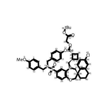 COc1ccc(CN(Cc2ccc(OC)cc2)S(=O)(=O)c2ccc3c(c2)N(C[C@@H]2CC[C@H]2COCC(=O)OC(C)(C)C)C[C@@]2(CCCc4cc(Cl)ccc42)CO3)cc1